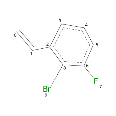 C=Cc1cccc(F)c1Br